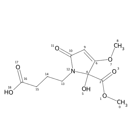 COC(=O)C1(O)C(OC)=CC(=O)N1CCCC(=O)O